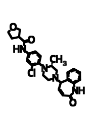 C[C@@H]1CN(C2C=CC(=O)Nc3ccccc32)CCN1c1ccc(NC(=O)C2CCOC2)cc1Cl